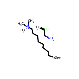 C=CCN.CCCCCCCCCCCCCCCCCC[N+](C)(C)C.Cl